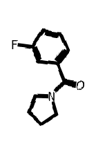 O=C(c1cccc(F)c1)N1CCCC1